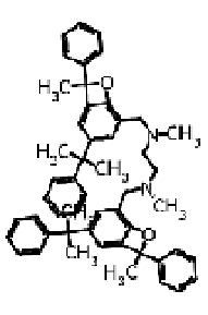 CN(CCN(C)Cc1cc(C(C)(C)c2ccccc2)cc2c1OC2(C)c1ccccc1)Cc1cc(C(C)(C)c2ccccc2)cc2c1OC2(C)c1ccccc1